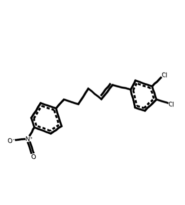 O=[N+]([O-])c1ccc(CCC/C=C/c2ccc(Cl)c(Cl)c2)cc1